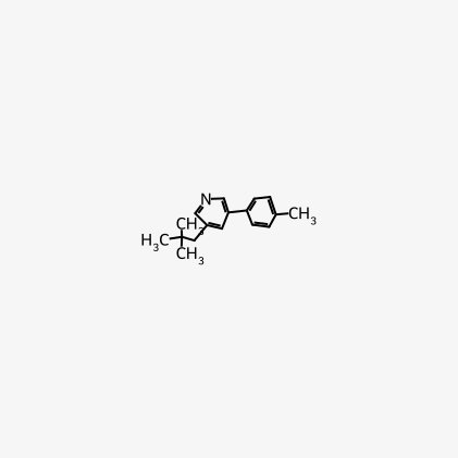 Cc1ccc(-c2cncc(CC(C)(C)C)c2)cc1